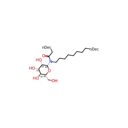 CCCCCCCCCCCCCCCCCCN(C(=O)CCCCCCCCCCC)[C@@H]1O[C@H](CO)[C@@H](O)[C@H](O)[C@@H]1O